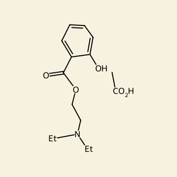 CC(=O)O.CCN(CC)CCOC(=O)c1ccccc1O